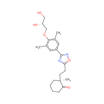 Cc1cc(-c2noc(CC[C@]3(C)CCCCC3=O)n2)cc(C)c1OC[C@H](O)CO